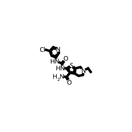 CCN1CCc2c(sc(NC(=O)Nc3cncc(Cl)c3)c2C(N)=O)C1